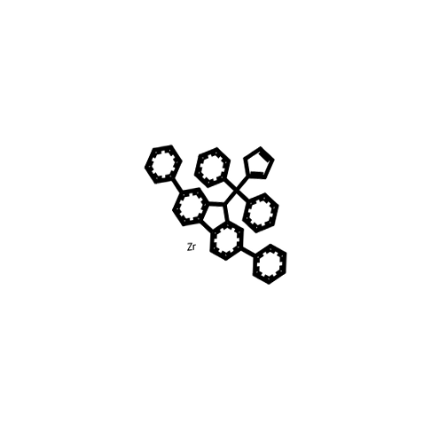 C1=CCC(C(c2ccccc2)(c2ccccc2)C2c3cc(-c4ccccc4)ccc3-c3ccc(-c4ccccc4)cc32)=C1.[Zr]